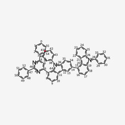 c1ccc(-c2cc(-c3cccc4c5cc(-c6cccc7c6c6ccccc6n7-c6ccccc6)ccc5n(-c5ccccc5)c34)nc(-c3ccccc3)n2)cc1